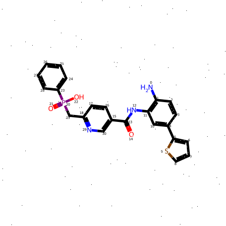 Nc1ccc(-c2cccs2)cc1NC(=O)c1ccc(CP(=O)(O)c2ccccc2)nc1